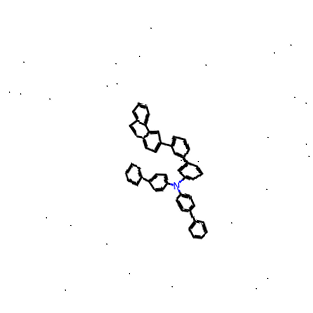 c1ccc(-c2ccc(N(c3ccc(-c4ccccc4)cc3)c3cccc(-c4cccc(-c5ccc6ccc7ccccc7c6c5)c4)c3)cc2)cc1